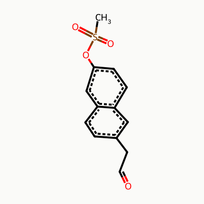 CS(=O)(=O)Oc1ccc2cc(CC=O)ccc2c1